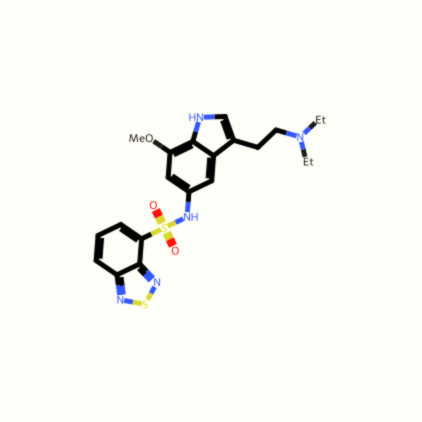 CCN(CC)CCc1c[nH]c2c(OC)cc(NS(=O)(=O)c3cccc4nsnc34)cc12